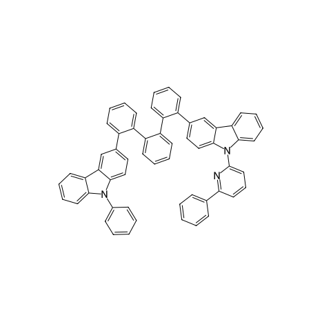 c1ccc(-c2cccc(-n3c4ccccc4c4cc(-c5ccccc5-c5ccccc5-c5ccccc5-c5ccc6c(c5)c5ccccc5n6-c5ccccc5)ccc43)n2)cc1